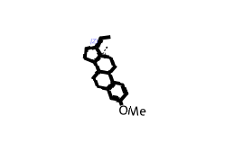 C/C=C1/CCC2C3CCc4cc(OC)ccc4C3CC[C@]12C